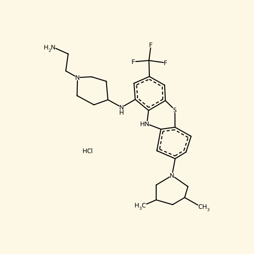 CC1CC(C)CN(c2ccc3c(c2)Nc2c(NC4CCN(CCN)CC4)cc(C(F)(F)F)cc2S3)C1.Cl